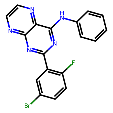 Fc1ccc(Br)cc1-c1nc(Nc2ccccc2)c2nccnc2n1